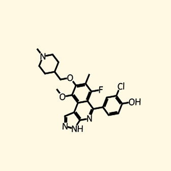 COc1c(OCC2CCN(C)CC2)c(C)c(F)c2c(-c3ccc(O)c(Cl)c3)nc3[nH]ncc3c12